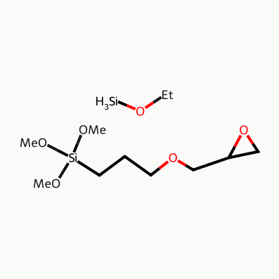 CCO[SiH3].CO[Si](CCCOCC1CO1)(OC)OC